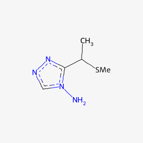 CSC(C)c1nncn1N